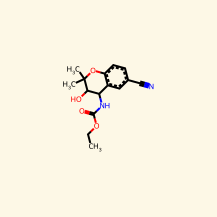 CCOC(=O)NC1c2cc(C#N)ccc2OC(C)(C)C1O